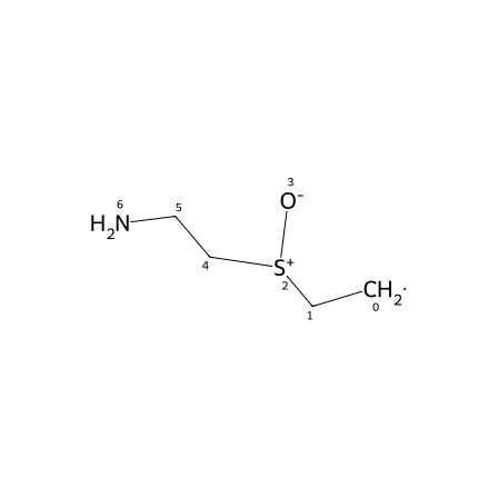 [CH2]C[S+]([O-])CCN